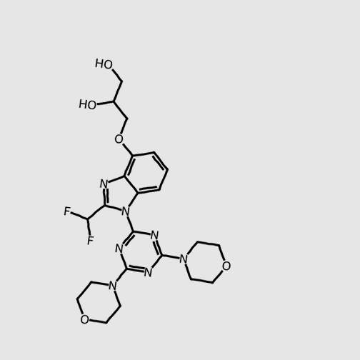 OCC(O)COc1cccc2c1nc(C(F)F)n2-c1nc(N2CCOCC2)nc(N2CCOCC2)n1